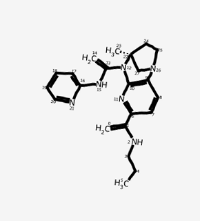 C=C(NCCC)c1ccc2c(n1)N(C(=C)Nc1ccccn1)[C@@]1(C)CCN2C1